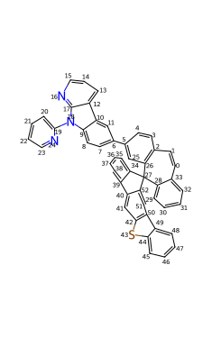 C1=Cc2ccc(-c3ccc4c(c3)c3cccnc3n4-c3ccccn3)cc2C2(c3ccccc31)c1ccccc1-c1cc3sc4ccccc4c3cc12